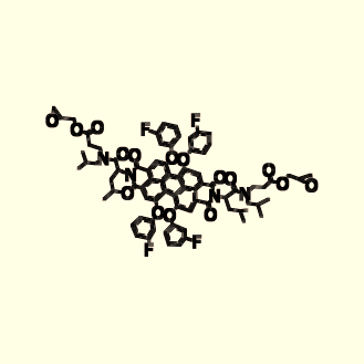 CC(C)CC(C(=O)N(CCC(=O)OCC1CO1)CC(C)C)N1C(=O)c2cc(Oc3cccc(F)c3)c3c4c(Oc5cccc(F)c5)cc5c6c(cc(Oc7cccc(F)c7)c(c7c(Oc8cccc(F)c8)cc(c2c37)C1=O)c64)C(=O)N(C(CC(C)C)C(=O)N(CCC(=O)OCC1CO1)CC(C)C)C5=O